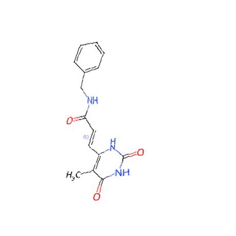 Cc1c(/C=C/C(=O)NCc2ccccc2)[nH]c(=O)[nH]c1=O